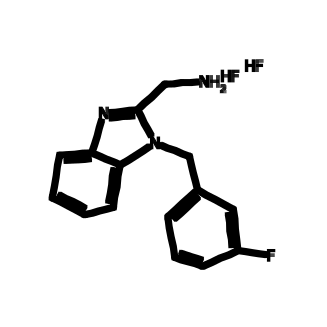 F.F.NCc1nc2ccccc2n1Cc1cccc(F)c1